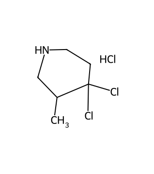 CC1CNCCC1(Cl)Cl.Cl